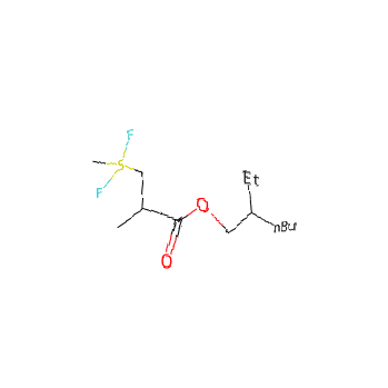 CCCCC(CC)COC(=O)C(C)CS(C)(F)F